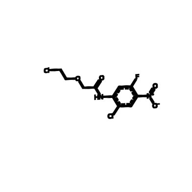 O=C(COCCCl)Nc1cc(F)c([N+](=O)[O-])cc1Cl